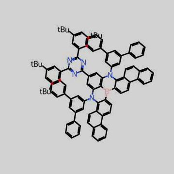 CC(C)(C)c1cc(-c2nc(-c3cc(C(C)(C)C)cc(C(C)(C)C)c3)nc(-c3cc4c5c(c3)N(c3cc(-c6ccccc6)cc(-c6ccccc6)c3)c3c(ccc6c3ccc3ccccc36)B5c3ccc5c(ccc6ccccc65)c3N4c3cc(-c4ccccc4)cc(-c4ccccc4)c3)n2)cc(C(C)(C)C)c1